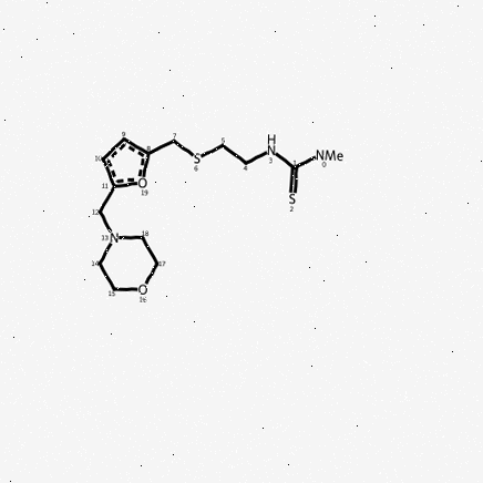 CNC(=S)NCCSCc1ccc(CN2CCOCC2)o1